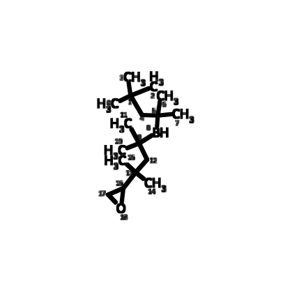 CC(C)(C)CC(C)(C)BC(C)(C)CC(C)(C)C1CO1